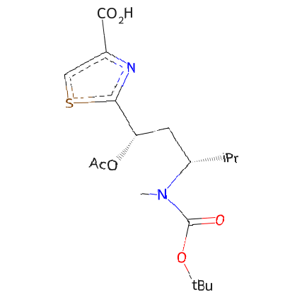 CC(=O)O[C@@H](C[C@H](C(C)C)N(C)C(=O)OC(C)(C)C)c1nc(C(=O)O)cs1